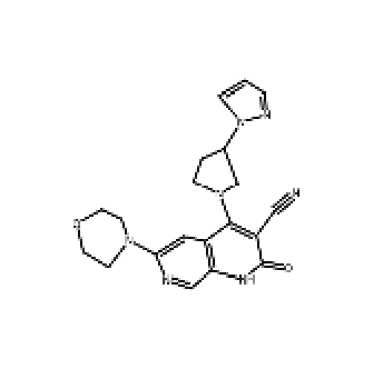 N#Cc1c(N2CCC(n3cccn3)C2)c2cc(N3CCOCC3)ncc2[nH]c1=O